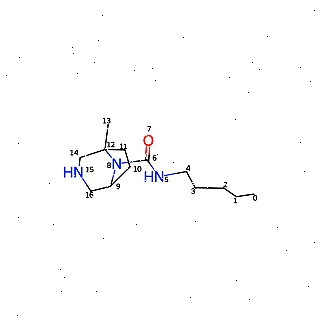 CCCCCNC(=O)N1C2CCC1(C)CNC2